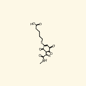 CNC(=O)c1noc2c1C(=O)C(SCCCCC(=O)O)=CC2=O